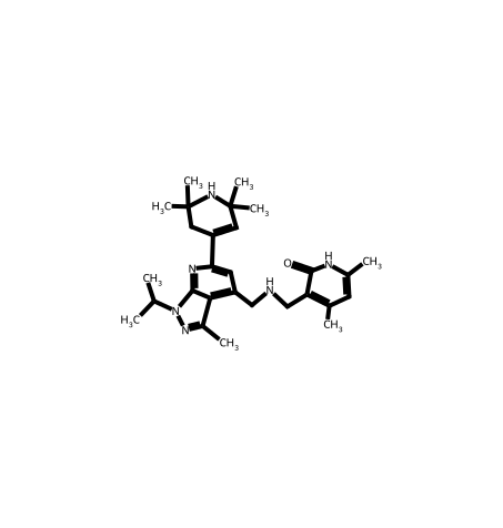 Cc1cc(C)c(CNCc2cc(C3=CC(C)(C)NC(C)(C)C3)nc3c2c(C)nn3C(C)C)c(=O)[nH]1